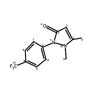 Cc1cc(=O)n(-c2ccc(C(F)(F)F)cc2)n1C